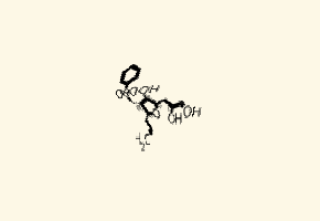 C=CC[C@@H]1O[C@H](C[C@H](O)CO)[C@H](O)[C@H]1CS(=O)(=O)c1ccccc1